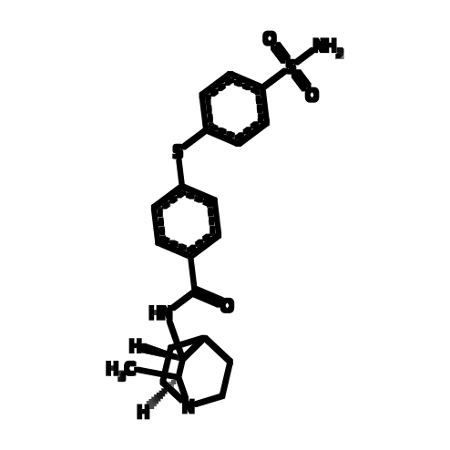 C[C@H]1[C@H](NC(=O)c2ccc(Sc3ccc(S(N)(=O)=O)cc3)cc2)C2CCN1CC2